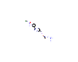 N=C(N)Nc1nc(CONCc2ccn3c(-c4cccc(NC(=O)NCC(F)(F)F)c4)cnc3c2)cs1